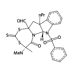 CCCC12CC3(C=O)SC(=S)S[C@@](C)(NC)C(=O)N3[C@H]1N(S(=O)(=O)c1ccccc1)c1ccccc12